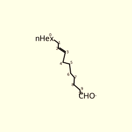 CCCCCCCC=CCCCCCC[C]=O